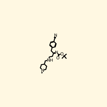 CN1CCC(CNCC/C(Cc2ccc(C#N)cc2)=N\C(=O)OC(C)(C)C)CC1